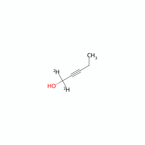 [2H]C([2H])(O)C#CCC